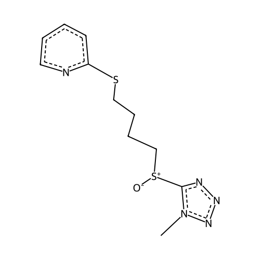 Cn1nnnc1[S+]([O-])CCCCSc1ccccn1